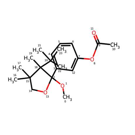 COC1(c2cccc(OC(C)=O)c2)OCC(C)(C)C1(C)C(C)(C)C